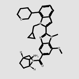 COc1cc(C(=O)N2C[C@H]3CC[C@@H]2C3N)cc2nc(-c3cc4cccc(C5CCCOC5)c4n3CC3CC3)n(C)c12